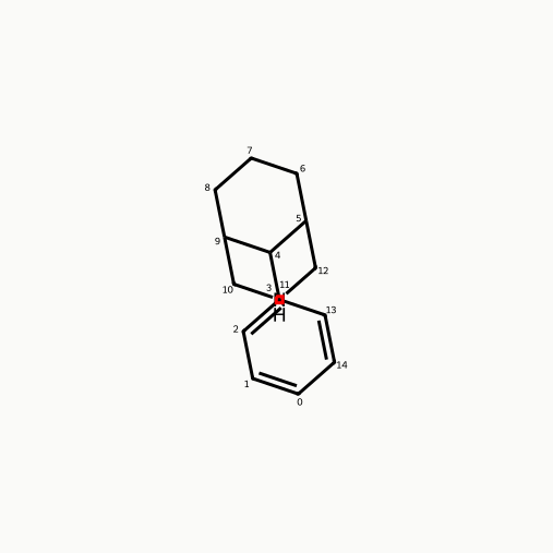 c1ccc(C2C3CCCC2CNC3)cc1